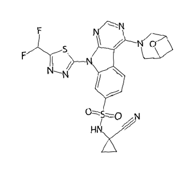 N#CC1(NS(=O)(=O)c2ccc3c4c(N5CC6CC(C5)O6)ncnc4n(-c4nnc(C(F)F)s4)c3c2)CC1